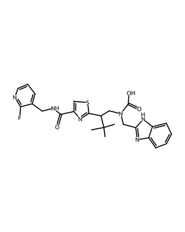 CC(C)(C)C(CN(Cc1nc2ccccc2[nH]1)C(=O)O)c1nc(C(=O)NCc2cccnc2F)cs1